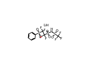 O=S(=O)(NS(=O)(=O)C(F)(F)C(F)(F)S(=O)(=O)c1ccccc1)C(F)(F)F.[LiH]